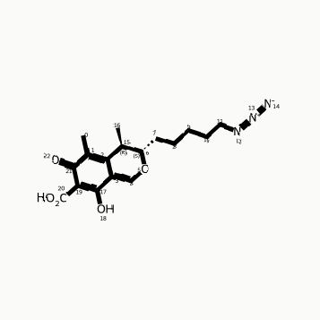 CC1=C2C(=CO[C@@H](CCCCCN=[N+]=[N-])[C@@H]2C)C(O)=C(C(=O)O)C1=O